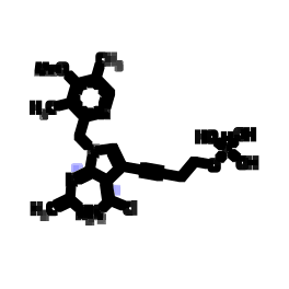 C=C(N)/N=C1\C(=C(/N)Cl)C(C#CCCO[PH](O)(O)O)=CN1Cc1ncc(C)c(OC)c1C